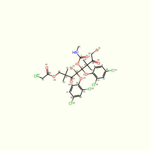 CNC(=O)OC(Oc1ccc(Cl)cc1Cl)(C(C)(C)C(=O)CBr)C(Br)(Oc1ccc(Cl)cc1Cl)C(=O)C(C)(C)COC(=O)CCl